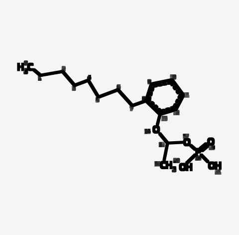 CCCCCCCCc1ccccc1OC(C)OP(=O)(O)O